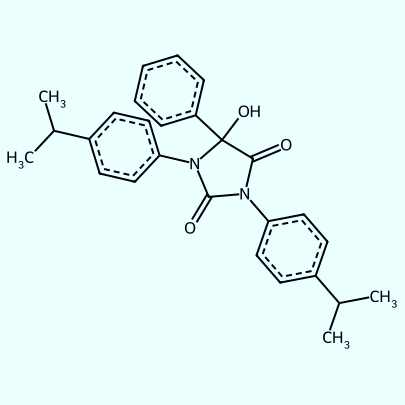 CC(C)c1ccc(N2C(=O)N(c3ccc(C(C)C)cc3)C(O)(c3ccccc3)C2=O)cc1